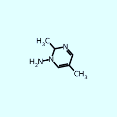 CC1=CN(N)C(C)N=C1